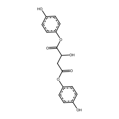 O=C(CC(O)C(=O)Oc1ccc(O)cc1)Oc1ccc(O)cc1